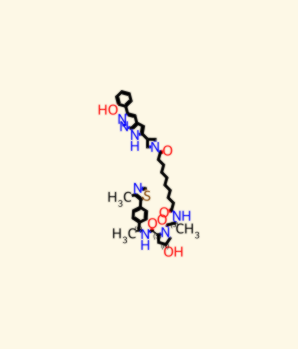 Cc1ncsc1-c1ccc([C@H](C)NC(=O)[C@@H]2C[C@@H](O)CN2C(=O)[C@H](C)NC(=O)CCCCCCCCC(=O)N2CC(c3cc4cc(-c5ccccc5O)nnc4[nH]3)C2)cc1